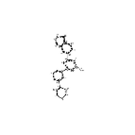 Clc1nc(-c2cccc(C3=NCCC=C3)c2)nc(-c2ccc3ccccc3c2)n1